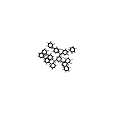 c1ccc(-c2ccc(-c3ccccc3N(c3ccc(-c4ccccc4)cc3)c3cc(-c4cc5ccccc5c5ccccc45)cc(N(c4ccc(-c5ccccc5)cc4)c4ccc(-c5ccccc5)cc4)c3)cc2)cc1